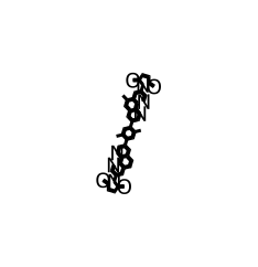 Cc1cc(-c2cnc3c(c2)cc(C)c2cc(N4C(=O)C=CC4=O)cnc23)c(C)cc1-c1cnc2c(ccc3cc(N4C(=O)C=CC4=O)cnc32)c1